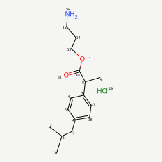 CC(C)Cc1ccc(C(C)C(=O)OCCCN)cc1.Cl